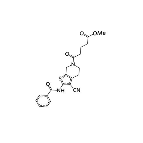 COC(=O)CCCC(=O)N1CCc2c(sc(NC(=O)c3ccccc3)c2C#N)C1